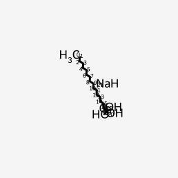 CCCCCCCCCCCCCCCCO[Si](O)(O)O.[NaH]